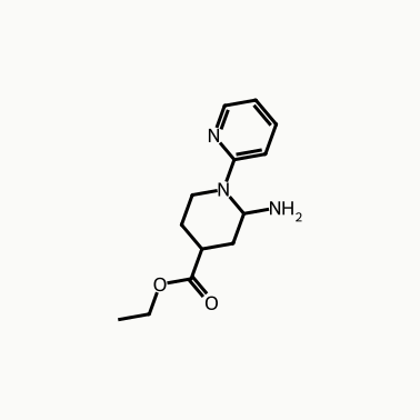 CCOC(=O)C1CCN(c2ccccn2)C(N)C1